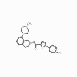 CN1CCN(c2cccc3c2C[C@H](NC(=O)c2ccc(-c4ccc(Cl)cc4)o2)CC3)CC1